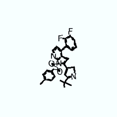 Cc1ccc(S(=O)(=O)n2c(C3=CC(C(C)(C)C)=NCC3)cc3c(-c4cccc(F)c4F)ccnc32)cc1